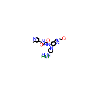 COCCn1cc2cc(NC(=O)c3coc(-c4ccnc(C)c4)n3)c(N3CCC(N)CC3)cc2n1.Cl